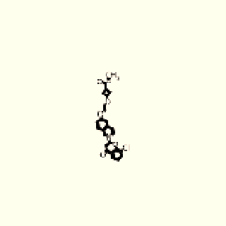 COC(=O)C1CC(OCCOc2ccc3c(c2)CCN(c2cc(=O)c4cccc(Cl)c4o2)C3)C1